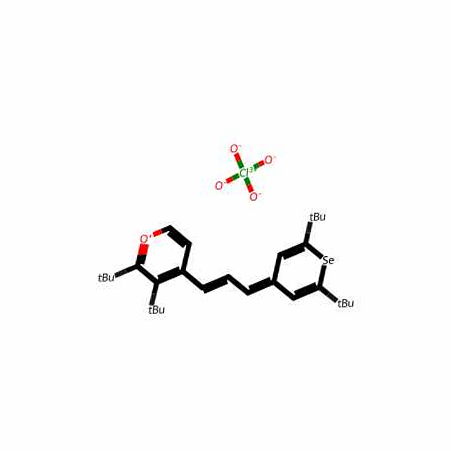 CC(C)(C)C1=CC(=CC=Cc2cc[o+]c(C(C)(C)C)c2C(C)(C)C)C=C(C(C)(C)C)[Se]1.[O-][Cl+3]([O-])([O-])[O-]